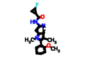 COc1ccccc1-c1c(C)c2cnc(NC(=O)C3CC3F)cc2n1C